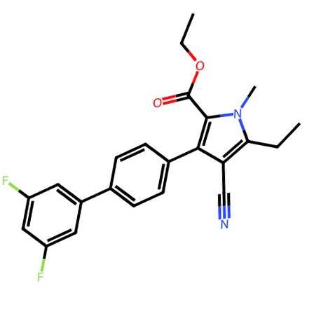 CCOC(=O)c1c(-c2ccc(-c3cc(F)cc(F)c3)cc2)c(C#N)c(CC)n1C